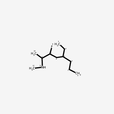 CCCC(CC)CC(F)C(C)NC